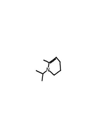 CC1=CCCCN1C(C)C